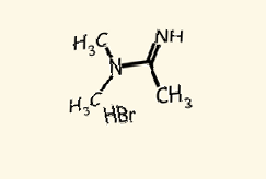 Br.CC(=N)N(C)C